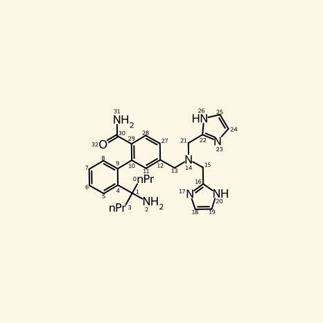 CCCC(N)(CCC)c1ccccc1-c1cc(CN(Cc2ncc[nH]2)Cc2ncc[nH]2)ccc1C(N)=O